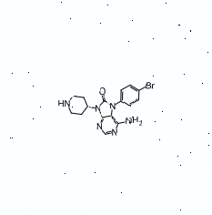 Nc1ncnc2c1n(-c1ccc(Br)cc1)c(=O)n2C1CCNCC1